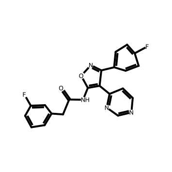 O=C(Cc1cccc(F)c1)Nc1onc(-c2ccc(F)cc2)c1-c1ccncn1